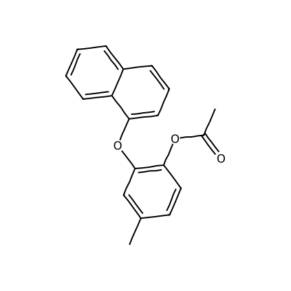 CC(=O)Oc1ccc(C)cc1Oc1cccc2ccccc12